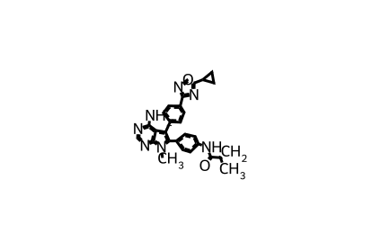 C=C(C)C(=O)Nc1ccc(-c2c(-c3ccc(-c4noc(C5CC5)n4)cc3)c3c(N)ncnc3n2C)cc1